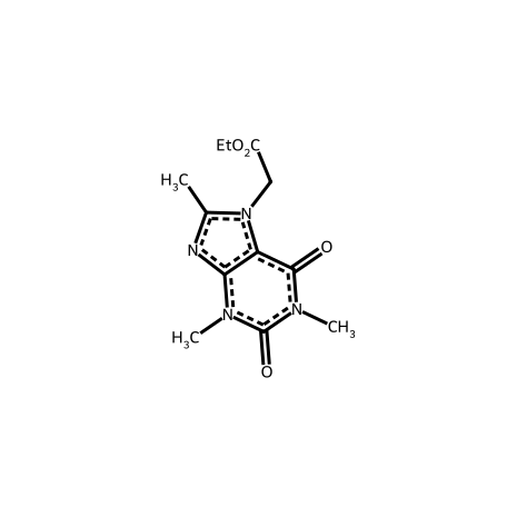 CCOC(=O)Cn1c(C)nc2c1c(=O)n(C)c(=O)n2C